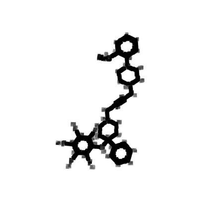 COc1ccccc1N1CCN(CC#CCN2CCC(Oc3c(F)c(F)c(F)c(F)c3F)(c3ccccc3)CC2)CC1